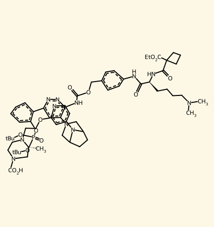 CCOC(=O)C1(C(=O)N[C@@H](CCCCN(C)C)C(=O)Nc2ccc(COC(=O)Nc3nnc(-c4ccccc4OP(=O)(OC(C)(C)C)OC(C)(C)C)cc3N3CC4CCC(C3)N4c3ccnc(OCCN4CCN(C(=O)O)C[C@H]4C)c3)cc2)CCC1